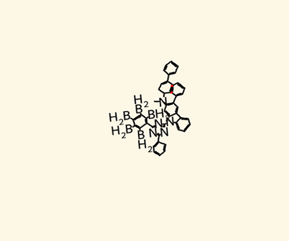 Bc1c(B)c(B)c(-c2nc(-c3ccccc3)nc(-n3c4ccccc4c4cc(-c5ccccc5)c(N(C)C5C=CC(c6ccccc6)=CC5)cc43)n2)c(B)c1B